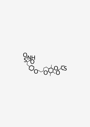 Cc1c(C)c2c(c(C)c1OC(=O)c1ccsc1)CCC(CCOc1ccc(CC3SC(=O)NC3=O)cc1)O2